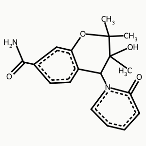 CC1(C)Oc2cc(C(N)=O)ccc2C(n2ccccc2=O)C1(C)O